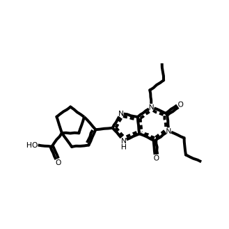 CCCn1c(=O)c2[nH]c(C3=CCC4(C(=O)O)CCC3C4)nc2n(CCC)c1=O